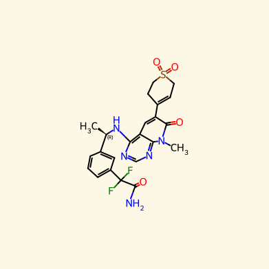 C[C@@H](Nc1ncnc2c1cc(C1=CCS(=O)(=O)CC1)c(=O)n2C)c1cccc(C(F)(F)C(N)=O)c1